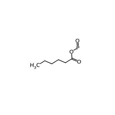 CCCCCC(=O)OP=O